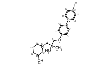 CC(O)(COc1ccc(-c2ccc(F)cc2)cc1)CN1CCCC(O)C1